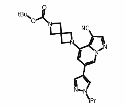 CC(C)n1cc(-c2cc(N3CC4(CN(C(=O)OC(C)(C)C)C4)C3)c3c(C#N)cnn3c2)cn1